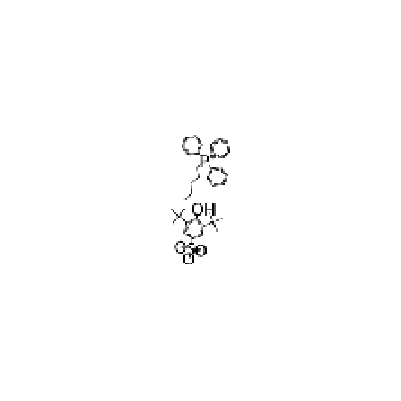 CC(C)(C)c1cc(S(=O)(=O)[O-])cc(C(C)(C)C)c1O.CCCCC[P+](c1ccccc1)(c1ccccc1)c1ccccc1